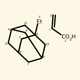 C=CC(=O)O.CCC12CC3CC(CC(C3)C1)C2